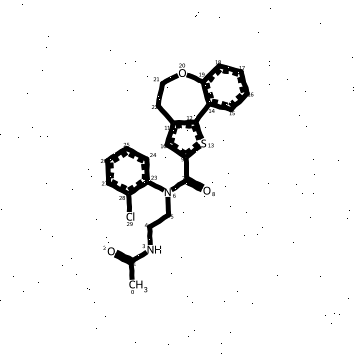 CC(=O)NCCN(C(=O)c1cc2c(s1)-c1ccccc1OCC2)c1ccccc1Cl